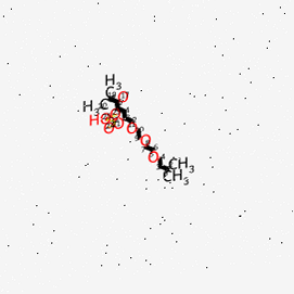 CC(C)CCOCCOCCOCC(CCC(=O)C(C)C)OS(=O)(=O)O